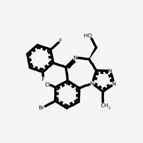 Cc1nnc2n1-c1ccc(Br)c(Cl)c1C(c1c(F)cccc1F)=N[C@H]2CO